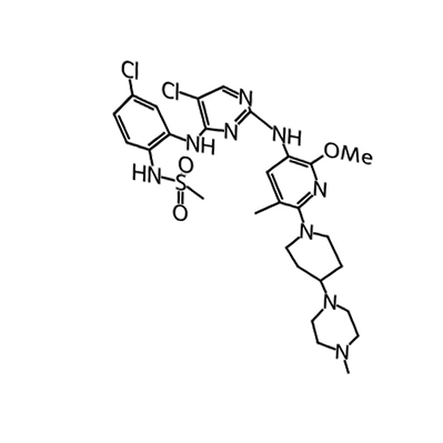 COc1nc(N2CCC(N3CCN(C)CC3)CC2)c(C)cc1Nc1ncc(Cl)c(Nc2cc(Cl)ccc2NS(C)(=O)=O)n1